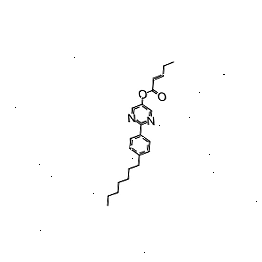 CCC=CC(=O)Oc1cnc(-c2ccc(CCCCCCC)cc2)nc1